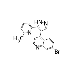 Cc1cccc(-c2[nH]ncc2-c2ccnc3cc(Br)ccc23)n1